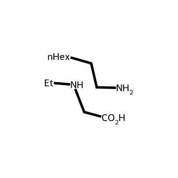 CCCCCCCCN.CCNCC(=O)O